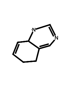 C1=CC2[N]C=NC=C2CC1